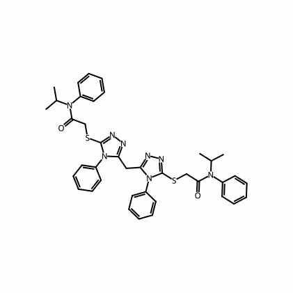 CC(C)N(C(=O)CSc1nnc(Cc2nnc(SCC(=O)N(c3ccccc3)C(C)C)n2-c2ccccc2)n1-c1ccccc1)c1ccccc1